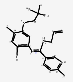 C=CCN/C(=N\c1cc(SCC(C)(F)F)c(C)cc1F)c1ccc(C)nc1